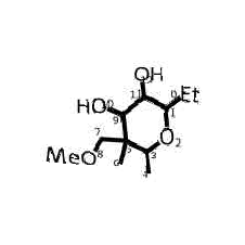 CCC1OC(C)C(C)(COC)C(O)C1O